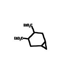 CCOC(=O)C1CC2CC2CC1C(=O)OCC